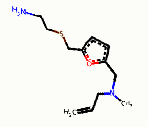 C=CCN(C)Cc1ccc(CSCCN)o1